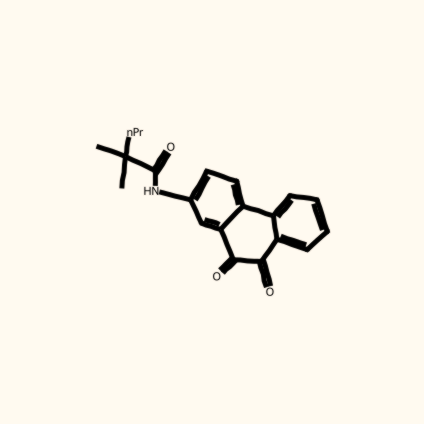 CCCC(C)(C)C(=O)Nc1ccc2c(c1)C(=O)C(=O)c1ccccc1-2